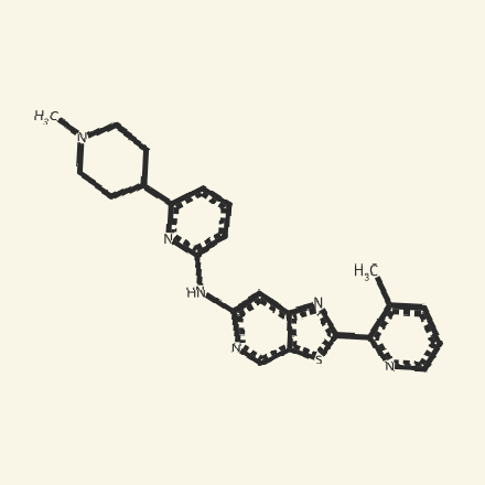 Cc1cccnc1-c1nc2cc(Nc3cccc(C4CCN(C)CC4)n3)ncc2s1